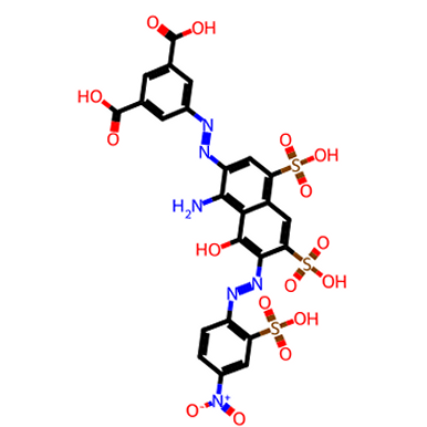 Nc1c(N=Nc2cc(C(=O)O)cc(C(=O)O)c2)cc(S(=O)(=O)O)c2cc(S(=O)(=O)O)c(N=Nc3ccc([N+](=O)[O-])cc3S(=O)(=O)O)c(O)c12